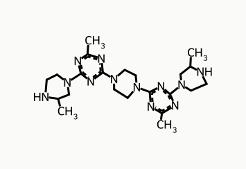 Cc1nc(N2CCN(c3nc(C)nc(N4CCNC(C)C4)n3)CC2)nc(N2CCNC(C)C2)n1